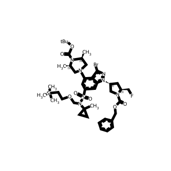 C[C@H]1CN(c2cc(S(=O)(=O)N(COCC[Si](C)(C)C)C3(C)CC3)cc3c2c(Br)nn3[C@@H]2C[C@@H](CF)N(C(=O)OCc3ccccc3)C2)C[C@H](C)N1C(=O)OC(C)(C)C